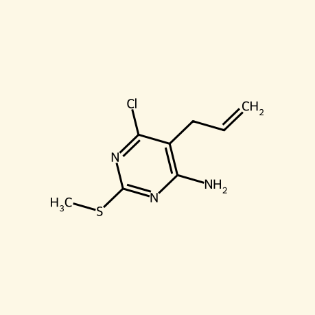 C=CCc1c(N)nc(SC)nc1Cl